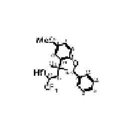 CSc1ccc(OCc2ccccc2)c(C(C)(C)CC(O)C(F)(F)F)c1